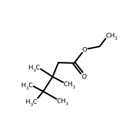 CCOC(=O)CC(C)(C)C(C)(C)C